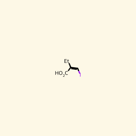 CCC(=CI)C(=O)O